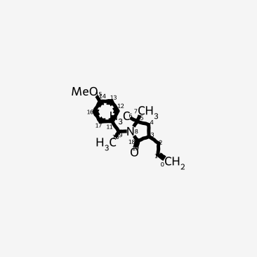 C=CCC1CC(C)(C)N(C(C)c2ccc(OC)cc2)C1=O